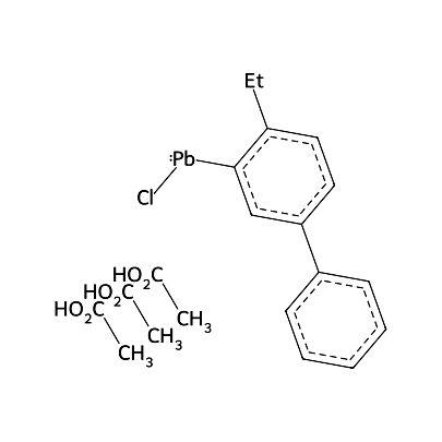 CC(=O)O.CC(=O)O.CC(=O)O.CCc1ccc(-c2ccccc2)c[c]1[Pb][Cl]